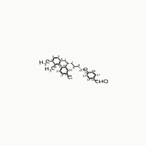 Cc1ccc(CC(CCCCOc2ccc(C=O)cc2)c2cccc(Cl)c2)cc1C